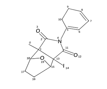 CC12C(=O)N(C3=CC=CCC3)C(=O)C1(I)C1CCC2O1